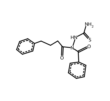 NC(=S)NN(C(=O)CCCc1ccccc1)C(=O)c1ccccc1